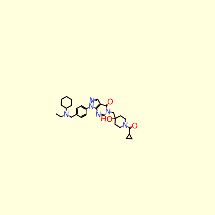 CCN(Cc1ccc(-n2ncc3c(=O)n(CC4(O)CCN(C(=O)C5CC5)CC4)cnc32)cc1)C1CCCCC1